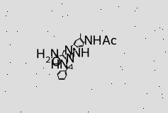 CC(=O)Nc1cc(Nc2ncc(C(N)=O)c(NC3(c4ccccc4)CC3)n2)ccc1C